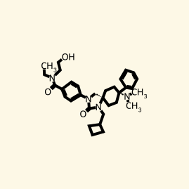 CCN(CCO)C(=O)c1ccc(N2C[C@]3(CC[C@@](c4ccccc4)(N(C)C)CC3)N(CC3CCC3)C2=O)cc1